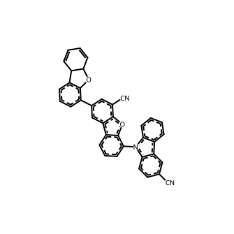 N#Cc1ccc2c(c1)c1ccccc1n2-c1cccc2c1oc1c(C#N)cc(-c3cccc4c3OC3C=CC=CC43)cc12